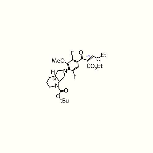 CCO/C=C(\C(=O)OCC)C(=O)c1cc(F)c(N2CC3[C@@H](CCCN3C(=O)OC(C)(C)C)C2)c(OC)c1F